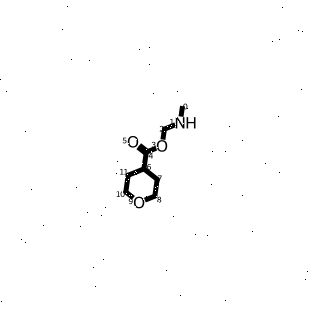 CNCOC(=O)C1CCOCC1